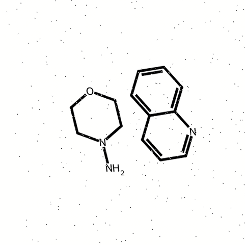 NN1CCOCC1.c1ccc2ncccc2c1